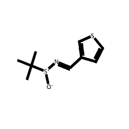 CC(C)(C)[S+]([O-])/N=C/c1ccsc1